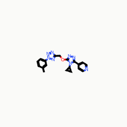 Cc1cccc(-n2nnc(COc3nnc(-c4ccncc4)n3C3CC3)n2)c1